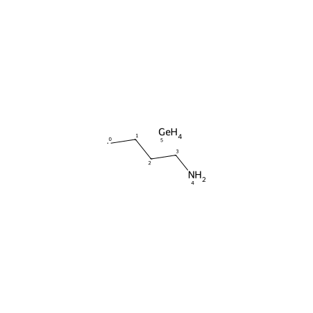 [CH2]CCCN.[GeH4]